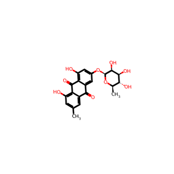 Cc1cc(O)c2c(c1)C(=O)c1cc(O[C@@H]3O[C@H](C)[C@@H](O)[C@H](O)[C@@H]3O)cc(O)c1C2=O